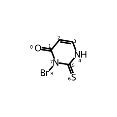 O=c1cc[nH]c(=S)n1Br